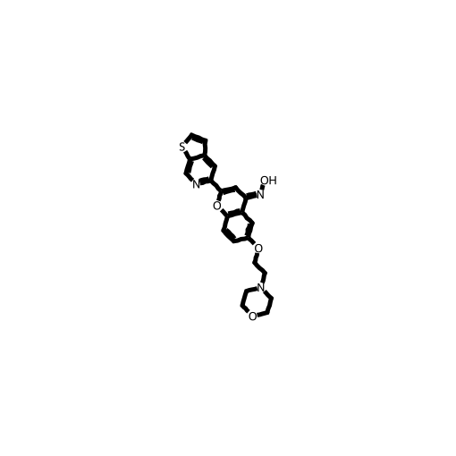 ON=c1cc(-c2cc3ccsc3cn2)oc2ccc(OCCN3CCOCC3)cc12